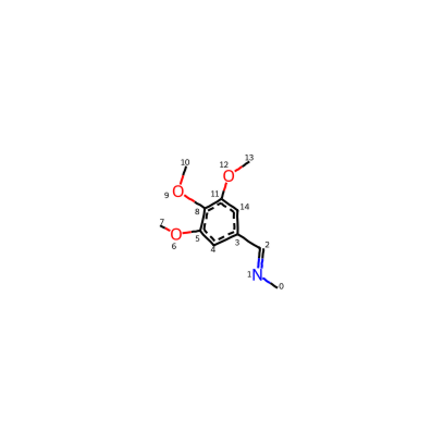 C/N=C/c1cc(OC)c(OC)c(OC)c1